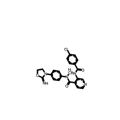 CN(C(=O)c1ccncc1NC(=O)c1ccc(Cl)cc1)c1ccc(N2CCOC2=N)cc1